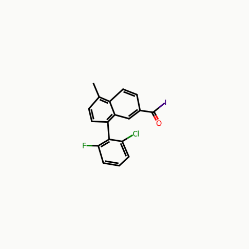 Cc1ccc(-c2c(F)cccc2Cl)c2cc(C(=O)I)ccc12